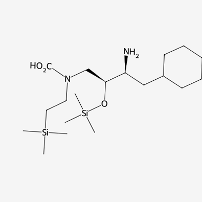 C[Si](C)(C)CCN(C[C@H](O[Si](C)(C)C)[C@@H](N)CC1CCCCC1)C(=O)O